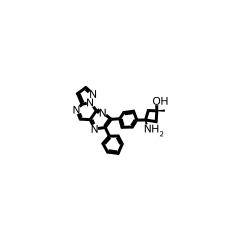 C[C@]1(O)C[C@@](N)(c2ccc(-c3nc4c(cnc5ccnn54)nc3-c3ccccc3)cc2)C1